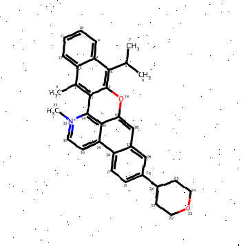 Cc1c2c(c(C(C)C)c3ccccc13)Oc1cc3cc(C4CCOCC4)ccc3c3cc[n+](C)c-2c13